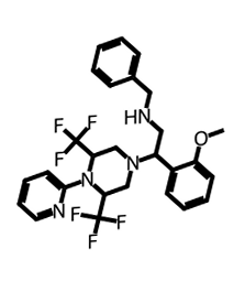 COc1ccccc1C(CNCc1ccccc1)N1CC(C(F)(F)F)N(c2ccccn2)C(C(F)(F)F)C1